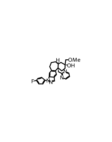 COC[C@]1(O)CC[C@]2(Cc3ncccn3)c3cc4cnn(-c5ccc(F)cc5)c4cc3CCC[C@@H]2C1